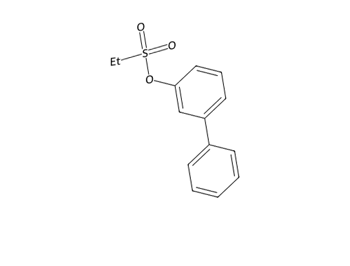 CCS(=O)(=O)Oc1cccc(-c2ccccc2)c1